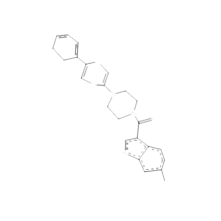 O=C(c1c[nH]c2cc(Cl)ccc12)N1CCN(C2=COC(C3=CC=CCC3)=CO2)CC1